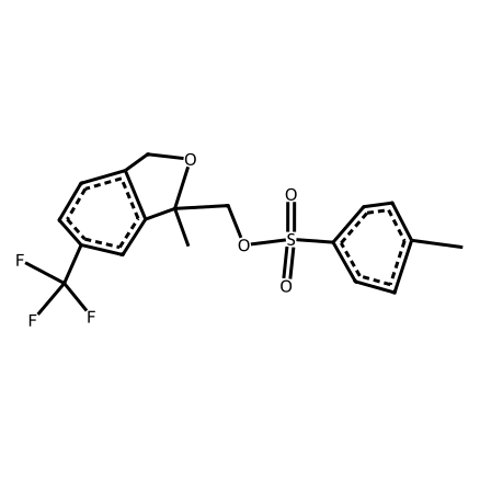 Cc1ccc(S(=O)(=O)OCC2(C)OCc3ccc(C(F)(F)F)cc32)cc1